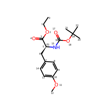 CCOC(=O)[C@H](Cc1ccc(OC)cc1)NC(=O)OC(C)(C)C